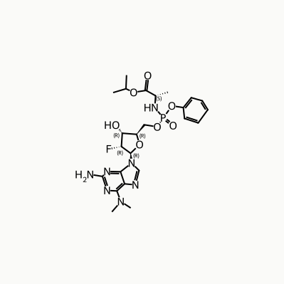 CC(C)OC(=O)[C@H](C)NP(=O)(OC[C@H]1O[C@@H](n2cnc3c(N(C)C)nc(N)nc32)[C@H](F)[C@@H]1O)Oc1ccccc1